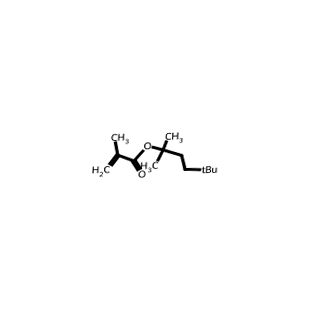 C=C(C)C(=O)OC(C)(C)CCC(C)(C)C